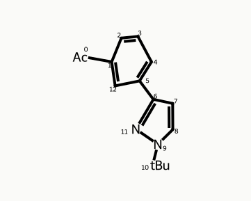 CC(=O)c1cccc(-c2ccn(C(C)(C)C)n2)c1